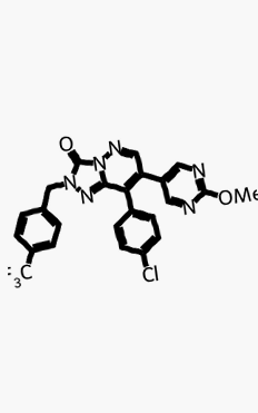 COc1ncc(-c2cnn3c(=O)n(Cc4ccc(C(F)(F)F)cc4)nc3c2-c2ccc(Cl)cc2)cn1